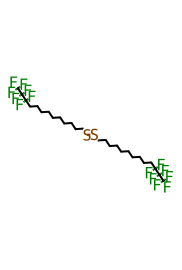 FC(F)(F)C(F)(F)C(F)(F)CCCCCCCCCCSSCCCCCCCCCCC(F)(F)C(F)(F)C(F)(F)F